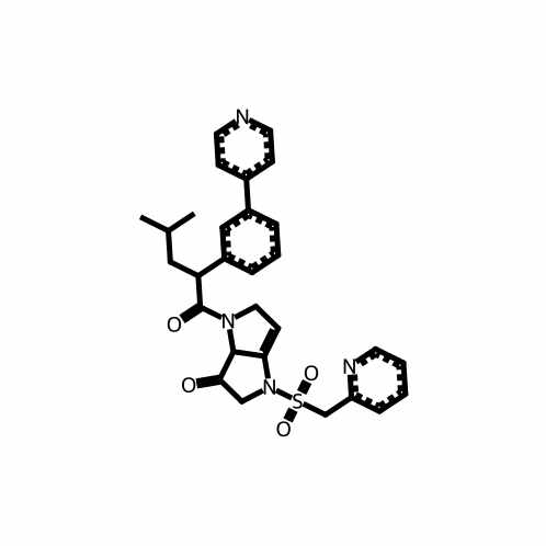 CC(C)CC(C(=O)N1CC=C2C1C(=O)CN2S(=O)(=O)Cc1ccccn1)c1cccc(-c2ccncc2)c1